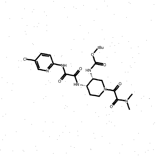 CN(C)C(=O)C(=O)N1CC[C@H](NC(=O)C(=O)Nc2ccc(Cl)cn2)[C@H](NC(=O)OC(C)(C)C)C1